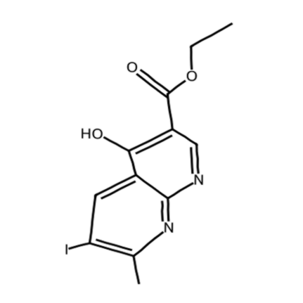 CCOC(=O)c1cnc2nc(C)c(I)cc2c1O